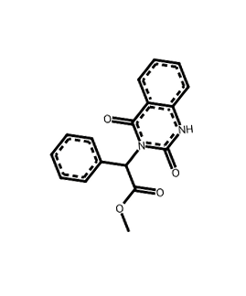 COC(=O)C(c1ccccc1)n1c(=O)[nH]c2ccccc2c1=O